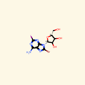 Nc1nc(I)nc2c1nc(Br)n2[C@@H]1O[C@H](CO)C(O)C1O